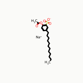 CCCCCCCCCCCCc1ccc(OC(C)=O)c(S(=O)(=O)[O-])c1.[Na+]